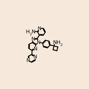 Nc1ncccc1-c1nc2ccc(-c3cnccn3)nc2n1-c1ccc(C2(N)CCC2)cc1